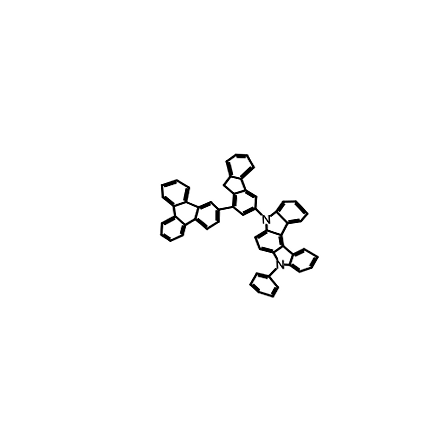 c1ccc(-n2c3ccccc3c3c4c5ccccc5n(-c5cc(-c6ccc7c8ccccc8c8ccccc8c7c6)c6c(c5)-c5ccccc5C6)c4ccc32)cc1